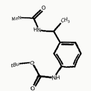 CNC(=O)NC(C)c1cccc(NC(=O)OC(C)(C)C)c1